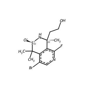 CC1(C)c2c(Br)cnc(F)c2[C@](C)(CCO)N[S@+]1[O-]